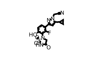 N#CCn1nc(-c2ccc(O)c(N3CC(=O)NS3(=O)=O)c2F)cc1C1CC1